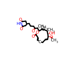 CO[C@H]1/C=C/CC/C=C/C(=O)OC([C@H](C)C(=O)CCCC2CC(=O)NC(=O)C2)/C(C)=C\[C@@H](C)[C@@H]1O